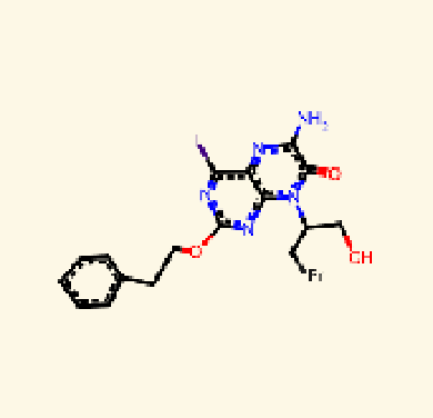 CC(C)CC(CO)n1c(=O)c(N)nc2c(I)nc(OCCc3ccccc3)nc21